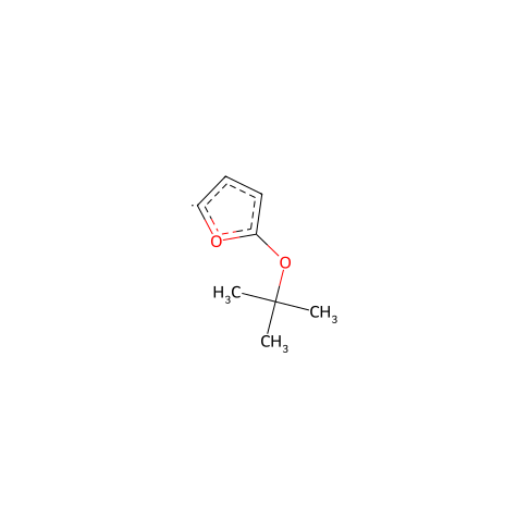 CC(C)(C)Oc1cc[c]o1